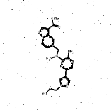 COC(=O)c1cnn2ccc(CN(N)c3nc(-c4cnn(CCO)c4)cnc3N)cc12